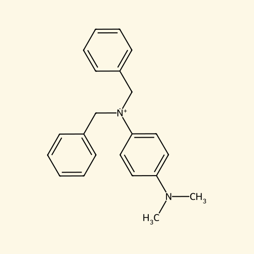 CN(C)c1ccc([N+](Cc2ccccc2)Cc2ccccc2)cc1